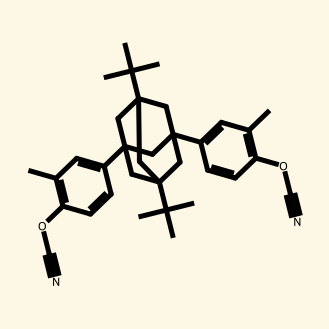 Cc1cc(C23CC4(c5ccc(OC#N)c(C)c5)CC(C(C)(C)C)(C2)CC(C(C)(C)C)(C3)C4)ccc1OC#N